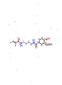 C/C=C(\C)C(=O)NCCCCNC(=O)c1ccc(O)c(OC)c1